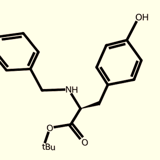 CC(C)(C)OC(=O)[C@H](Cc1ccc(O)cc1)NCc1ccccc1